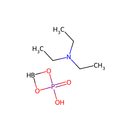 CCN(CC)CC.O=P1(O)OBO1